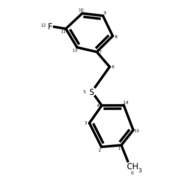 Cc1ccc(SCc2cccc(F)c2)cc1